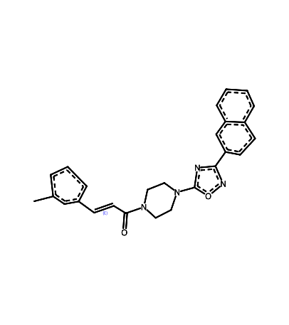 Cc1cccc(/C=C/C(=O)N2CCN(c3nc(-c4ccc5ccccc5c4)no3)CC2)c1